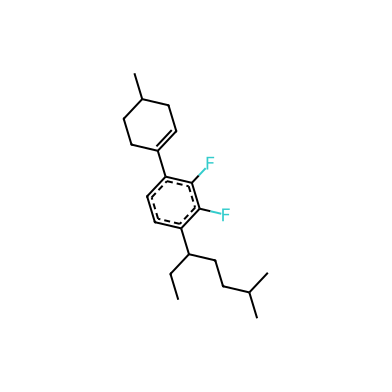 CCC(CCC(C)C)c1ccc(C2=CCC(C)CC2)c(F)c1F